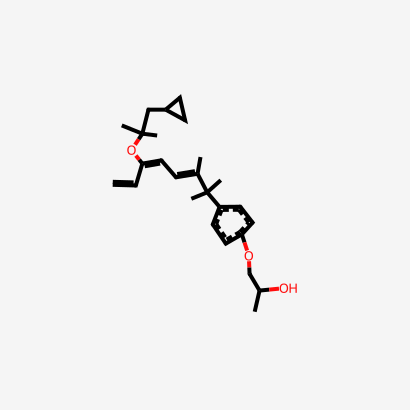 C=C/C(=C\C=C(/C)C(C)(C)c1ccc(OCC(C)O)cc1)OC(C)(C)CC1CC1